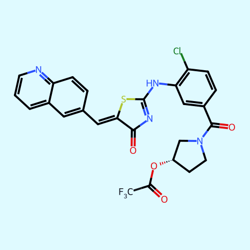 O=C1N=C(Nc2cc(C(=O)N3CC[C@H](OC(=O)C(F)(F)F)C3)ccc2Cl)S/C1=C\c1ccc2ncccc2c1